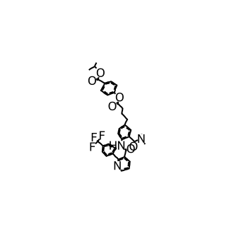 CC(C)OC(=O)c1ccc(OC(=O)CCCc2ccc(NC(=O)c3cccnc3-c3ccc(C(F)(F)F)cc3)c(C(=O)N(C)C)c2)cc1